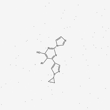 CC(C)c1c(O)nc(-n2ccnc2)nc1-c1cnn(C2CC2)c1